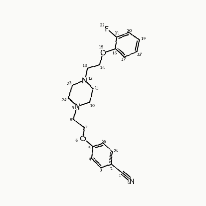 N#Cc1ccc(OCCN2CCN(CCOc3ccccc3F)CC2)cc1